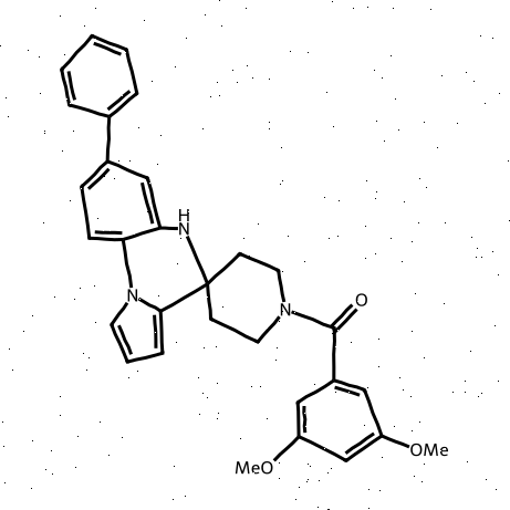 COc1cc(OC)cc(C(=O)N2CCC3(CC2)Nc2cc(-c4ccccc4)ccc2-n2cccc23)c1